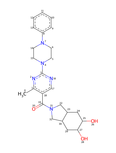 Cc1nc(N2CCN(c3ccccc3)CC2)ncc1C(=O)N1CC2CC(O)C(O)CC2C1